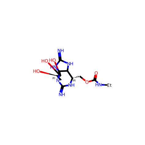 CCNC(=O)OC[C@@H]1NC(=N)N2C[C@@H](O)C(O)(O)C23NC(=N)NC13